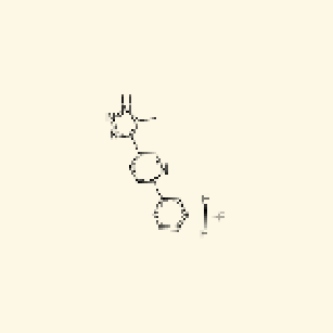 Cc1[nH]nnc1-c1ccc(-c2cccc(C(F)(F)F)c2)nc1